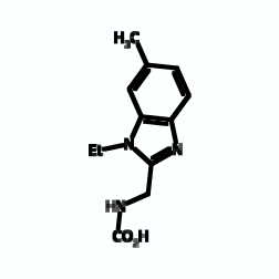 CCn1c(CNC(=O)O)nc2ccc(C)cc21